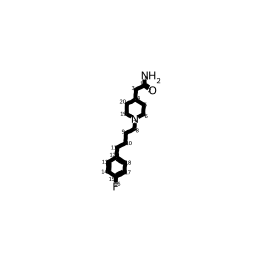 NC(=O)CC1CCN(CCCCc2ccc(F)cc2)CC1